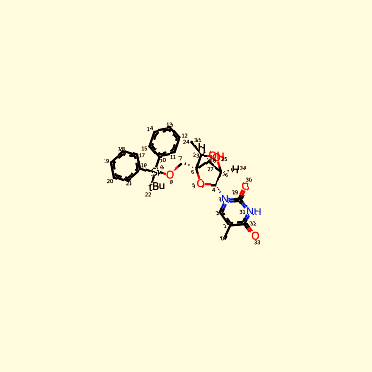 Cc1cn([C@@H]2O[C@@]3(CO[Si](c4ccccc4)(c4ccccc4)C(C)(C)C)[C@@H](C)O[C@@H]2[C@@H]3O)c(=O)[nH]c1=O